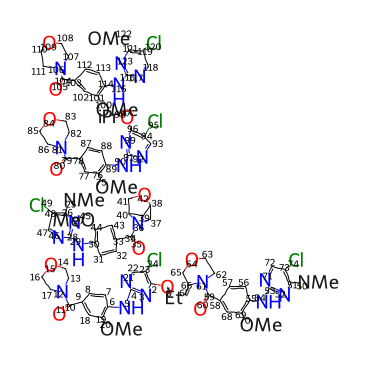 CCOc1nc(Nc2ccc(C(=O)N3CCOCC3)cc2OC)ncc1Cl.CNc1nc(Nc2ccc(C(=O)N3CC4CC3CO4)cc2OC)ncc1Cl.CNc1nc(Nc2ccc(C(=O)N3CCOC[C@@H]3C)cc2OC)ncc1Cl.COc1cc(C(=O)N2CCOCC2)ccc1Nc1ncc(Cl)c(OC(C)C)n1.COc1cc(C(=O)N2CCOCC2)ccc1Nc1ncc(Cl)c(OC)n1